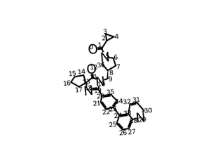 O=C(C1CC1)N1CC[C@@H](CN2C(=O)C3(CCCC3)N=C2c2ccc(-c3cccc4ncccc34)cc2)C1